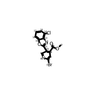 COC(=O)c1cc(Br)ncc1-c1nc2c(Cl)cccc2o1